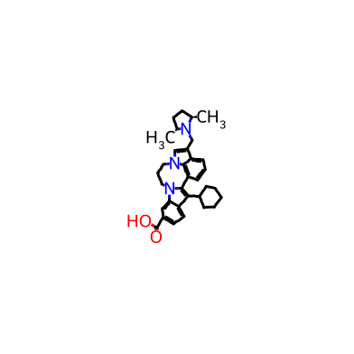 C[C@@H]1CC[C@@H](C)N1Cc1cn2c3c(cccc13)-c1c(C3CCCCC3)c3ccc(C(=O)O)cc3n1CCC2